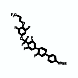 CCCCCc1ccc(-c2ccc(-c3cc(F)c(C(F)(F)Oc4cc(F)c(O/C=C/C(F)(F)F)c(F)c4)c(F)c3)c(F)c2)cc1